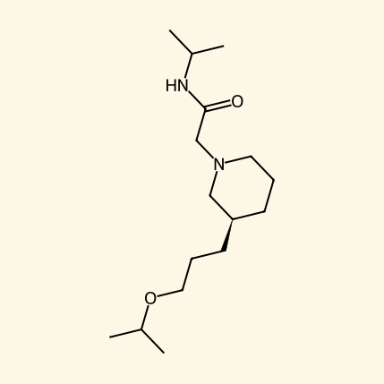 CC(C)NC(=O)CN1CCC[C@@H](CCCOC(C)C)C1